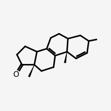 CC1C=C[C@]2(C)C3=C(CCC2C1)C1CCC(=O)[C@@]1(C)CC3